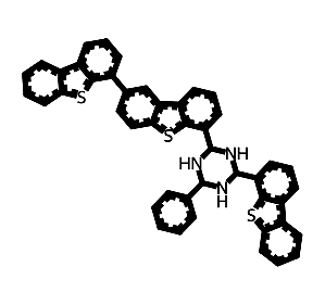 c1ccc(C2NC(c3cccc4c3sc3ccccc34)NC(c3cccc4c3sc3ccc(-c5cccc6c5sc5ccccc56)cc34)N2)cc1